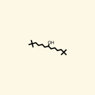 CC(C)(C)CCCCC(O)CCCCC(C)(C)C